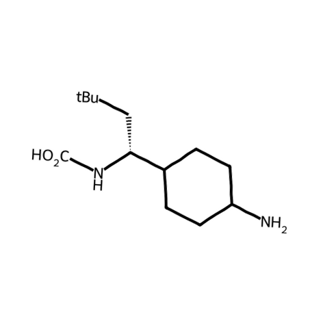 CC(C)(C)C[C@@H](NC(=O)O)C1CCC(N)CC1